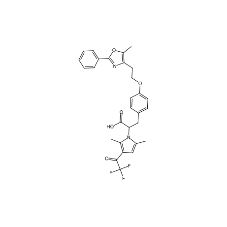 Cc1oc(-c2ccccc2)nc1CCOc1ccc(CC(C(=O)O)n2c(C)cc(C(=O)C(F)(F)F)c2C)cc1